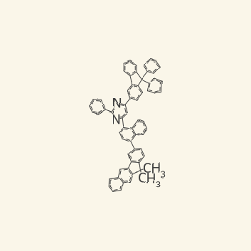 CC1(C)c2ccc(-c3ccc(-c4cc(-c5ccc6c(c5)-c5ccccc5C6(c5ccccc5)c5ccccc5)nc(-c5ccccc5)n4)c4ccccc34)cc2-c2cc3ccccc3cc21